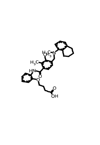 Cc1c(CN(C)c2cccc3c2CCCC3)ccc(C(=O)Nc2ccccc2OCCCC(=O)O)c1C